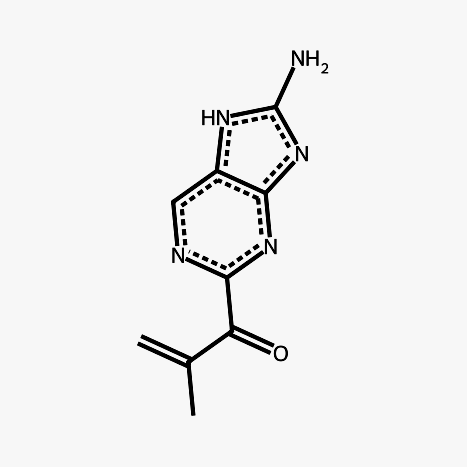 C=C(C)C(=O)c1ncc2[nH]c(N)nc2n1